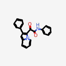 O=C(Nc1ccccc1)C(=O)c1c(-c2ccccc2)cc2ccccn12